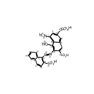 Nc1cc(S(=O)(=O)O)cc2cc(S(=O)(=O)O)c(N=Nc3c(S(=O)(=O)O)ccc4ccccc34)c(O)c12